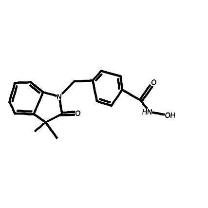 CC1(C)C(=O)N(Cc2ccc(C(=O)NO)cc2)c2ccccc21